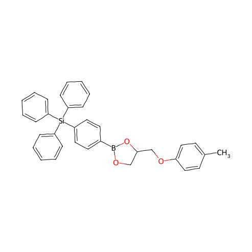 Cc1ccc(OCC2COB(c3ccc([Si](c4ccccc4)(c4ccccc4)c4ccccc4)cc3)O2)cc1